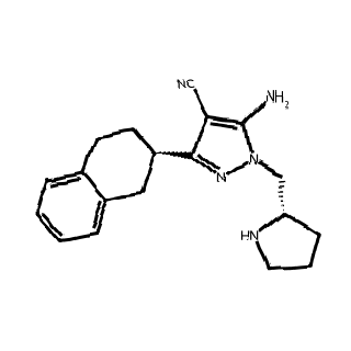 N#Cc1c([C@@H]2CCc3ccccc3C2)nn(C[C@@H]2CCCN2)c1N